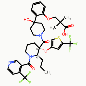 CCC[C@H]1N(C(=O)c2cnccc2C(F)(F)F)CCC[C@@]1(Oc1csc(C(F)(F)F)c1)C(=O)N1CCC(O)(c2ccccc2OCC(C)(C)C(=O)O)CC1